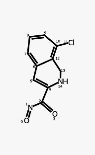 O=NC(=O)C1=Cc2cccc(Cl)c2CN1